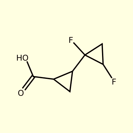 O=C(O)C1CC1C1(F)CC1F